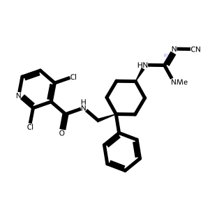 CN/C(=N\C#N)N[C@H]1CC[C@](CNC(=O)c2c(Cl)ccnc2Cl)(c2ccccc2)CC1